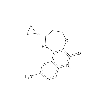 Cn1c(=O)c2c(c3cc(N)ccc31)N[C@H](C1CC1)CCO2